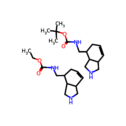 CC(C)(C)OC(=O)NCC1CC=CC2CNCC21.CCOC(=O)NCC1CC=CC2CNCC21